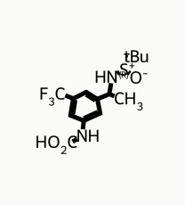 CC(N[S@@+]([O-])C(C)(C)C)c1cc(NC(=O)O)cc(C(F)(F)F)c1